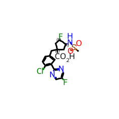 CS(=O)(=O)N[C@@H]1C[C@@](Cc2ccc(Cl)c(-c3ncc(F)cn3)c2)(C(=O)O)C[C@@H]1F